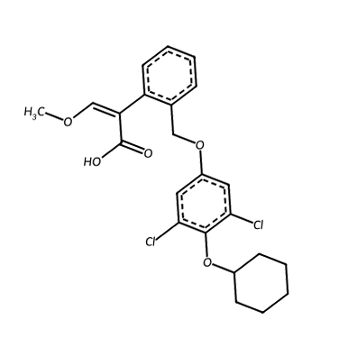 COC=C(C(=O)O)c1ccccc1COc1cc(Cl)c(OC2CCCCC2)c(Cl)c1